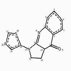 O=C1c2ccccc2N=C2C1CCN2c1cncs1